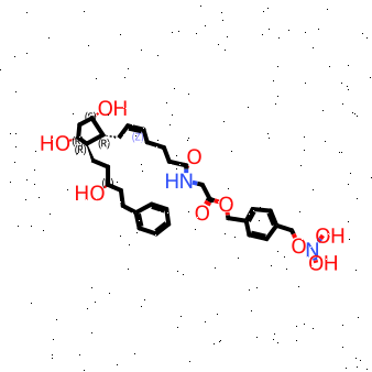 O=C(CCC/C=C\C[C@@H]1[C@@H](CC[C@@H](O)CCc2ccccc2)[C@H](O)C[C@@H]1O)NCC(=O)OCc1ccc(CON(O)O)cc1